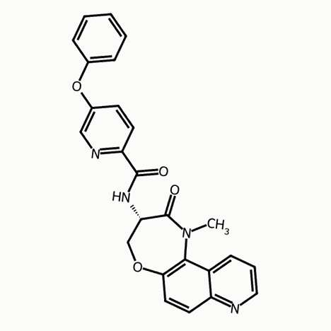 CN1C(=O)[C@@H](NC(=O)c2ccc(Oc3ccccc3)cn2)COc2ccc3ncccc3c21